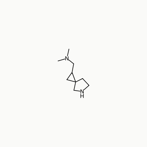 CN(C)C[C]1CC12CCNC2